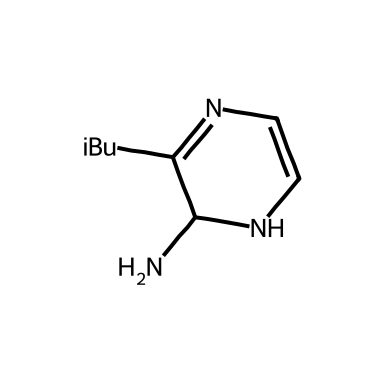 CCC(C)C1=NC=CNC1N